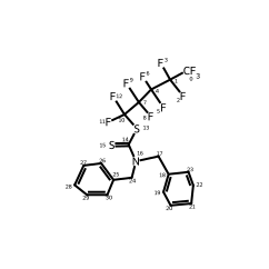 FC(F)(F)C(F)(F)C(F)(F)C(F)(F)C(F)(F)SC(=S)N(Cc1ccccc1)Cc1ccccc1